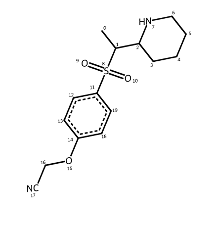 CC(C1CCCCN1)S(=O)(=O)c1ccc(OCC#N)cc1